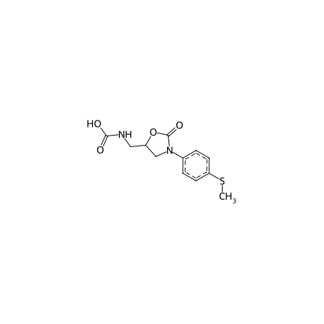 CSc1ccc(N2CC(CNC(=O)O)OC2=O)cc1